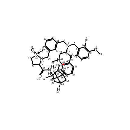 COc1ccc(Cl)c(CN(Cc2cccc(CN3C(C(=O)N[C@H]4C[C@H]5C[C@@H]([C@@H]4C)C5(C)C)CCS3(=O)=O)c2)[C@@H](Cc2ccccc2)CN(C)C)c1F